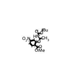 COC(=O)c1ccc([N+](=O)[O-])cc1OC(C)NC(=O)OC(C)(C)C